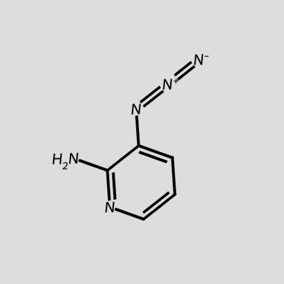 [N-]=[N+]=Nc1cccnc1N